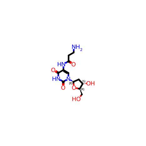 NCCC(=O)Nc1cn([C@H]2C[C@H](O)[C@@H](CO)O2)c(=O)[nH]c1=O